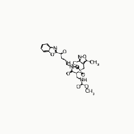 COC(=O)NCC(C(=O)NCCCC(=O)c1nc2ccccc2o1)S(=O)(=O)Cc1c(C)noc1C